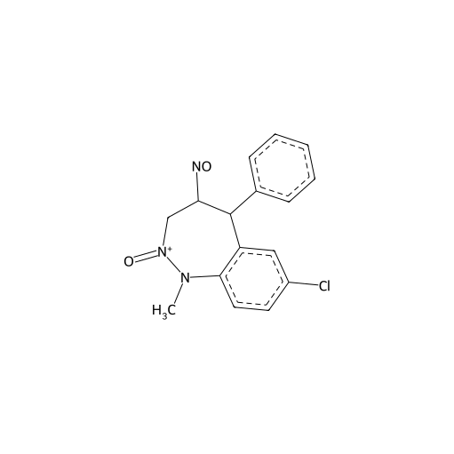 CN1c2ccc(Cl)cc2C(c2ccccc2)C(N=O)C[N+]1=O